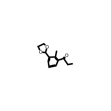 CCC(=O)c1cccc(C2OCCO2)c1C